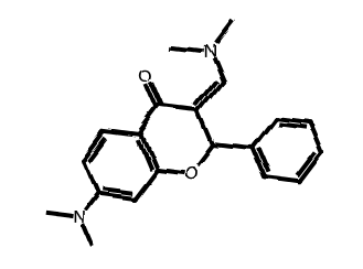 CN(C)C=C1C(=O)c2ccc(N(C)C)cc2OC1c1ccccc1